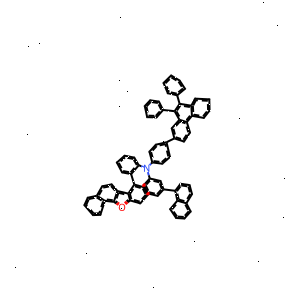 c1ccc(-c2c(-c3ccccc3)c3cc(-c4ccc(N(c5cccc(-c6cccc7ccccc67)c5)c5ccccc5-c5cccc6oc7c8ccccc8ccc7c56)cc4)ccc3c3ccccc23)cc1